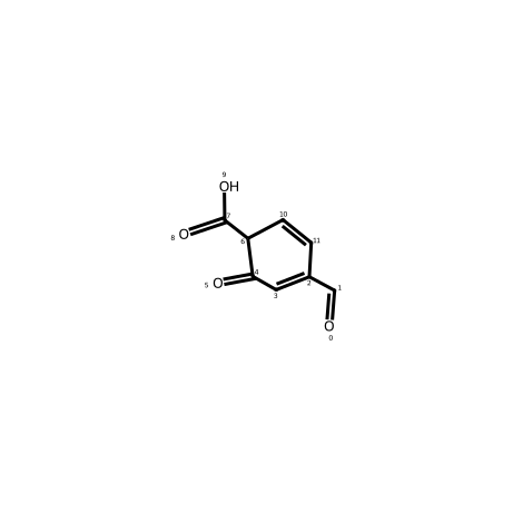 O=CC1=CC(=O)C(C(=O)O)C=C1